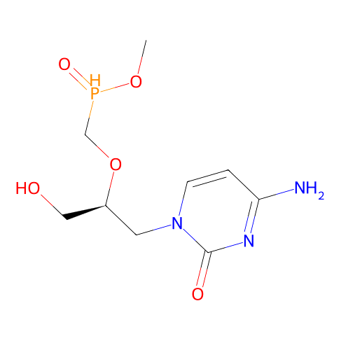 CO[PH](=O)CO[C@H](CO)Cn1ccc(N)nc1=O